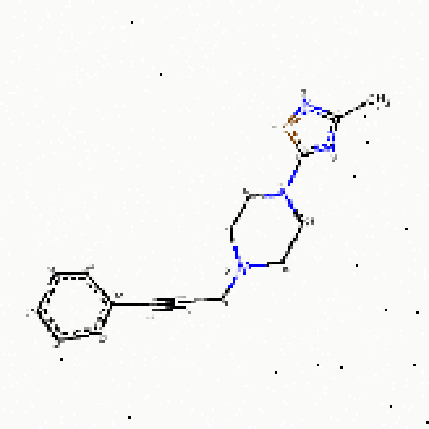 Cc1nsc(N2CCN(CC#Cc3ccccc3)CC2)n1